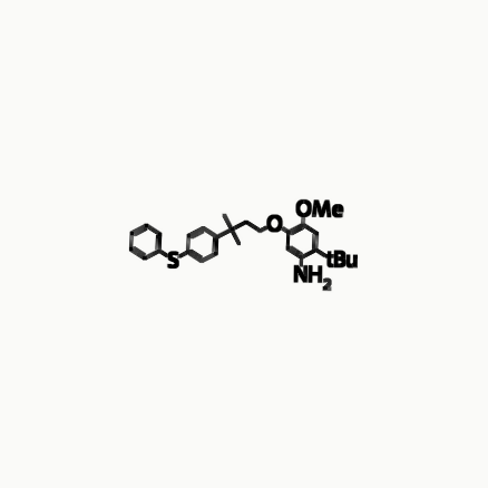 COc1cc(C(C)(C)C)c(N)cc1OCCC(C)(C)c1ccc(Sc2ccccc2)cc1